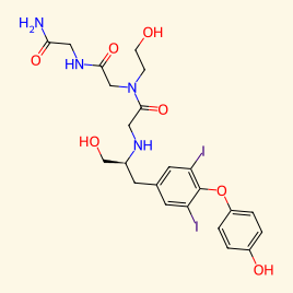 NC(=O)CNC(=O)CN(CCO)C(=O)CN[C@H](CO)Cc1cc(I)c(Oc2ccc(O)cc2)c(I)c1